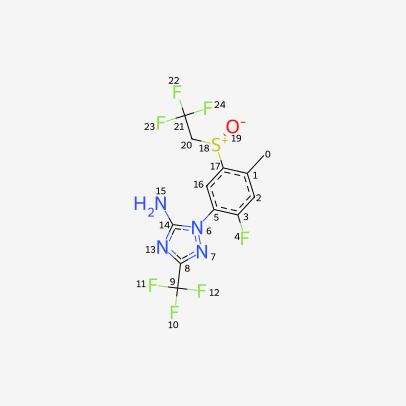 Cc1cc(F)c(-n2nc(C(F)(F)F)nc2N)cc1[S@@+]([O-])CC(F)(F)F